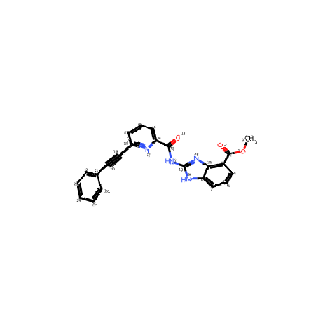 COC(=O)c1cccc2[nH]c(NC(=O)c3cccc(C#Cc4ccccc4)n3)nc12